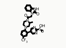 CC1CN(c2ccc(C(F)(F)F)cc2-c2cnc(S(=O)O)nc2)CCN1C(=O)Cn1c(=O)[nH]c2ccccc21